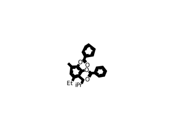 CCc1cc(C)c(OC(=O)c2ccccc2)c(OC(=O)c2ccccc2)c1CC(C)C